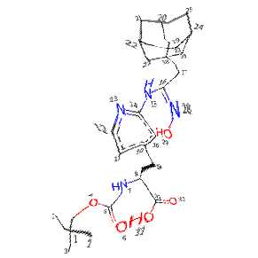 CC(C)(C)OC(=O)N[C@@H](Cc1ccnc(N/C(CC23CC4CC(CC(C4)C2)C3)=N\O)c1)C(=O)O